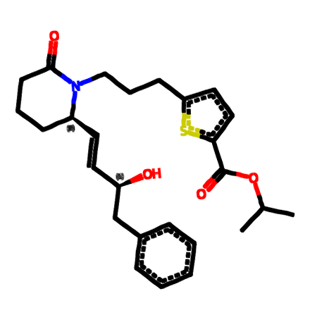 CC(C)OC(=O)c1ccc(CCCN2C(=O)CCC[C@@H]2C=C[C@@H](O)Cc2ccccc2)s1